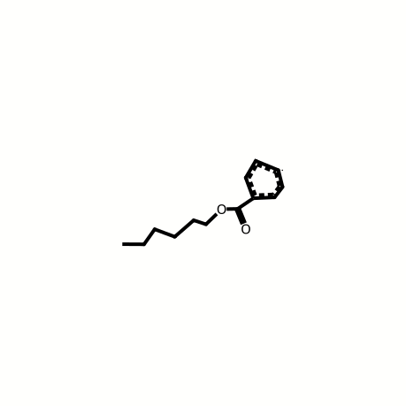 CCCCCCOC(=O)c1cc[c]cc1